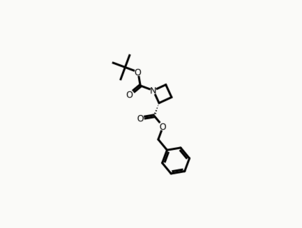 CC(C)(C)OC(=O)N1CC[C@@H]1C(=O)OCc1ccccc1